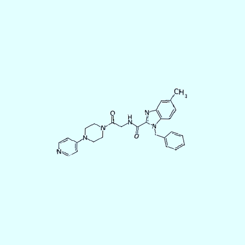 Cc1ccc2c(c1)nc(C(=O)NCC(=O)N1CCN(c3ccncc3)CC1)n2Cc1ccccc1